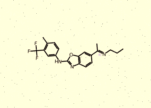 CCC/N=C(\C)c1ccc2nc(Nc3ccc(C)c(C(F)(F)F)c3)oc2c1